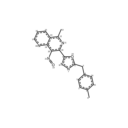 Cc1ccc(Cc2nnc(-c3nc(C)c4cccnc4c3N=O)o2)cc1